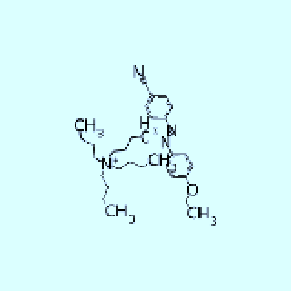 CCCC[N+](CCCC)(CCCC)CCCC.CCOc1ccc(N=Nc2ccc(C#N)cc2)cc1